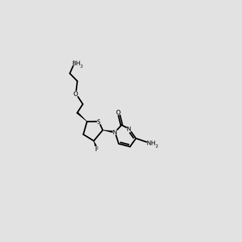 BCCOCC[C@@H]1C[C@H](F)[C@H](n2ccc(N)nc2=O)S1